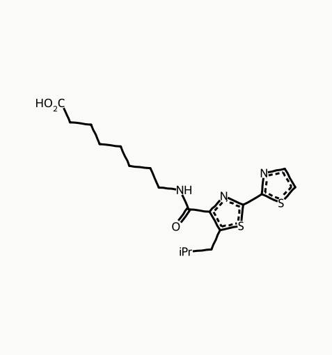 CC(C)Cc1sc(-c2nccs2)nc1C(=O)NCCCCCCCC(=O)O